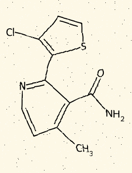 Cc1ccnc(-c2sccc2Cl)c1C(N)=O